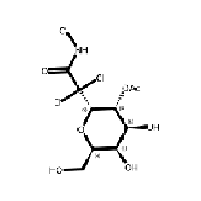 CC(=O)O[C@@H]1[C@@H](O)[C@@H](O)[C@@H](CO)O[C@@H]1C(Cl)(Cl)C(=O)NCl